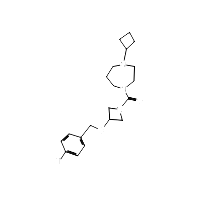 O=C(N1CCCN(C2CCC2)CC1)N1CC(OCc2ccc(Cl)cc2)C1